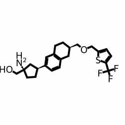 N[C@]1(CO)CC[C@H](c2ccc3c(c2)CC[C@@H](COCc2ccc(C(F)(F)F)s2)C3)C1